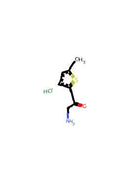 Cc1ccc(C(=O)CN)s1.Cl